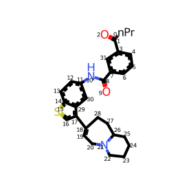 CCCC(=O)c1cccc(C(=O)Nc2ccc3scc(C4=CCN5CCCCC5CC4)c3c2)c1